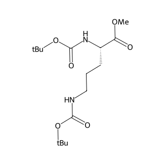 COC(=O)[C@H](CCCNC(=O)OC(C)(C)C)NC(=O)OC(C)(C)C